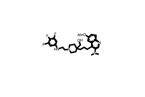 COc1ccc2ncc(N(C)C)c(CCCC3(CO)CCN(CCNc4cc(F)c(F)c(F)c4)CC3)c2c1